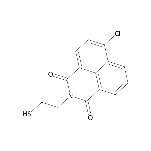 O=C1c2cccc3c(Cl)ccc(c23)C(=O)N1CCS